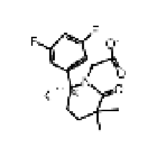 CC1(C)CC[C@@](C)(c2cc(F)cc(F)c2)N(CC(=O)[O-])C1=O.[K+]